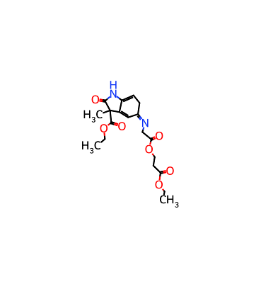 CCOC(=O)CCOC(=O)CN=C1C=C2C(=CC1)NC(=O)C2(C)C(=O)OCC